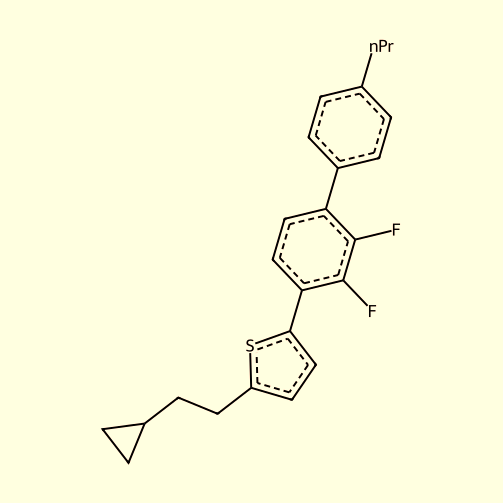 CCCc1ccc(-c2ccc(-c3ccc(CCC4CC4)s3)c(F)c2F)cc1